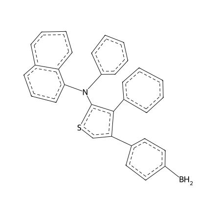 Bc1ccc(-c2csc(N(c3ccccc3)c3cccc4ccccc34)c2-c2ccccc2)cc1